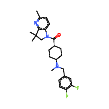 Cc1ccc2c(n1)C(C)(C)CN2C(=O)[C@H]1CC[C@H](N(C)Cc2ccc(F)c(F)c2)CC1